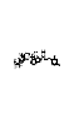 Cc1ccc(CCNC2CC3CCCC3(C(=O)N3CCc4ncc(C(F)(F)F)cc4C3)C2)c(C)c1